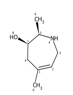 CC1=CCN[C@H](C)[C@H](O)C1